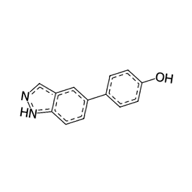 Oc1ccc(-c2ccc3[nH]ncc3c2)cc1